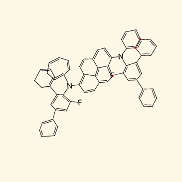 Fc1cc(-c2ccccc2)cc(C2=CC=CCC2)c1N(C1=CCC=CC=C1)c1ccc2ccc3c(N(c4ccccc4)c4c(F)cc(-c5ccccc5)cc4-c4ccccc4)ccc4ccc1c2c43